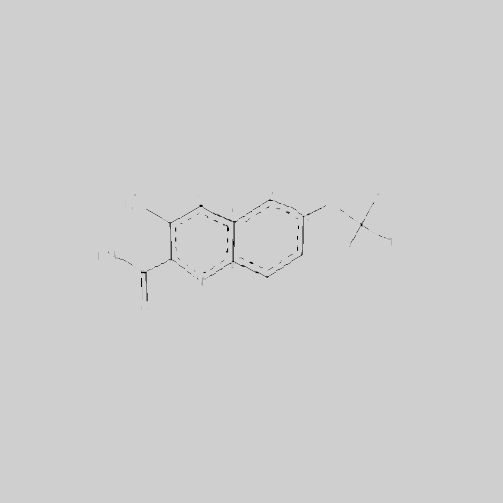 NC(=O)c1nc2ccc(OC(F)(F)F)cc2cc1O